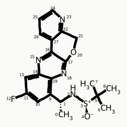 C[C@@H](N[S@+]([O-])C(C)(C)C)c1cc(F)cc2nc3c(nc12)OCc1ncccc1-3